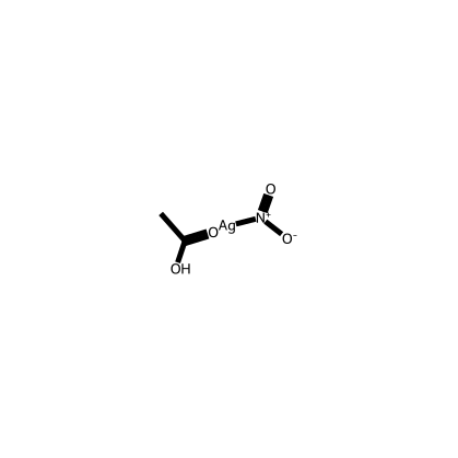 CC(=O)O.O=[N+]([O-])[Ag]